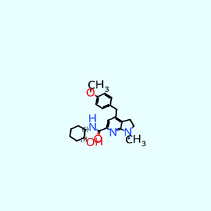 COc1ccc(Cc2cc(C(=O)N[C@H]3CCCC[C@@H]3O)nc3c2CCN3C)cc1